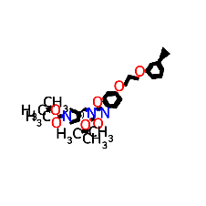 CC(C)(C)OC(=O)N1CC[C@H](CN(C(=O)OC(C)(C)C)c2nc3ccc(OCCCOc4cccc(C5CC5)c4)cc3o2)C1